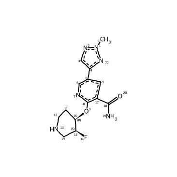 Cn1ncc(-c2cnc(O[C@@H]3CCNC[C@@H]3F)c(C(N)=O)c2)n1